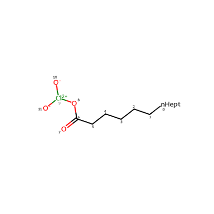 CCCCCCCCCCCCC(=O)O[Cl+2]([O-])[O-]